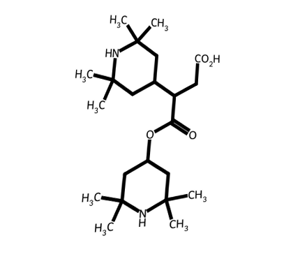 CC1(C)CC(OC(=O)C(CC(=O)O)C2CC(C)(C)NC(C)(C)C2)CC(C)(C)N1